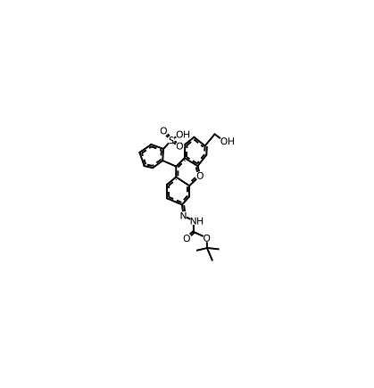 CC(C)(C)OC(=O)N/N=c1/ccc2c(-c3ccccc3S(=O)(=O)O)c3ccc(CO)cc3oc-2c1